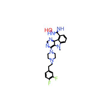 Cn1c2cccc(C(=N)NO)c2c2ncnc(N3CCN(CCc4ccc(F)c(F)c4)CC3)c21